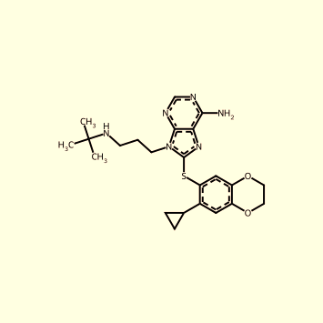 CC(C)(C)NCCCn1c(Sc2cc3c(cc2C2CC2)OCCO3)nc2c(N)ncnc21